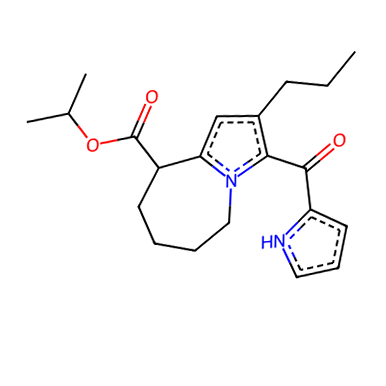 CCCc1cc2n(c1C(=O)c1ccc[nH]1)CCCCC2C(=O)OC(C)C